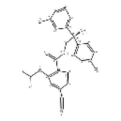 CC(C)Oc1cc(C#N)ccc1C(=O)NC[C@@](N)(c1ccc(Cl)cc1)c1cccc(Cl)c1